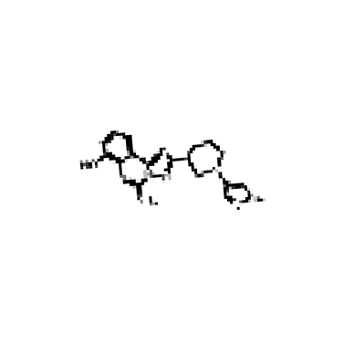 Cn1cc(N2CCC[C@H](c3nc4c5cccc(O)c5nc(N)n4n3)C2)cn1